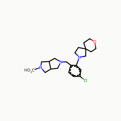 O=C(O)N1CC2CN(Cc3ccc(Cl)cc3N3CCC4(CCOCC4)C3)CC2C1